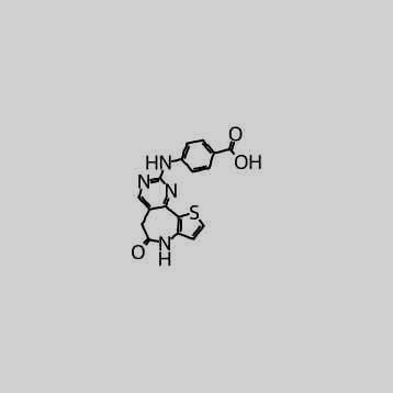 O=C1Cc2cnc(Nc3ccc(C(=O)O)cc3)nc2-c2sccc2N1